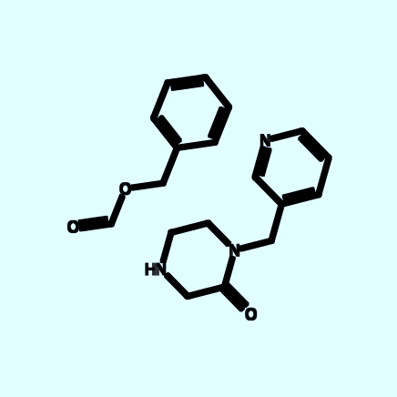 O=C1CNCCN1Cc1cccnc1.O=COCc1ccccc1